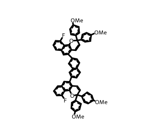 COc1ccc(C2(c3ccc(OC)cc3)C=Cc3c(-c4ccc5ccc(-c6cc7cccc(F)c7c7c6C=CC(c6ccc(OC)cc6)(c6ccc(OC)cc6)O7)cc5c4)cc4cccc(F)c4c3O2)cc1